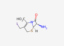 N[C@@H]1C(=O)N2C(C(=O)O)=C(CI)CS[C@H]12